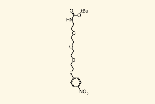 CC(C)(C)OC(=O)NCCOCCOCCOCCSc1ccc([N+](=O)[O-])cc1